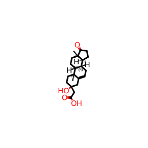 C[C@]12CCC(O)(CC(=O)O)CC1=CC[C@@H]1[C@H]2CC[C@]2(C)C(=O)CC[C@@H]12